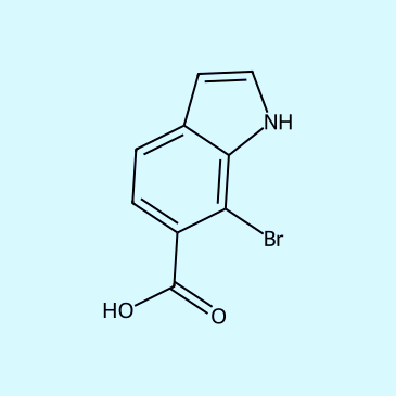 O=C(O)c1ccc2cc[nH]c2c1Br